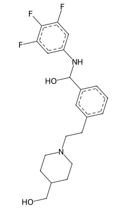 OCC1CCN(CCc2cccc(C(O)Nc3cc(F)c(F)c(F)c3)c2)CC1